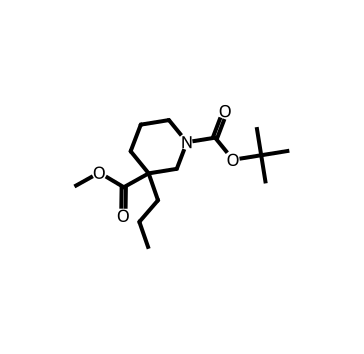 CCCC1(C(=O)OC)CCCN(C(=O)OC(C)(C)C)C1